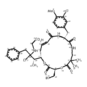 COc1ccc(C[C@H]2NC(=O)/C=C/C[C@@H]([C@H](C)C(Cl)(Cc3ccccc3)NCC(=O)O)OC(=O)[C@H](CC(C)C)OC(=O)C(C)(C)CNC2=O)cc1Cl